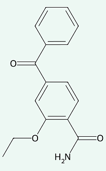 CCOc1cc(C(=O)c2ccccc2)ccc1C(N)=O